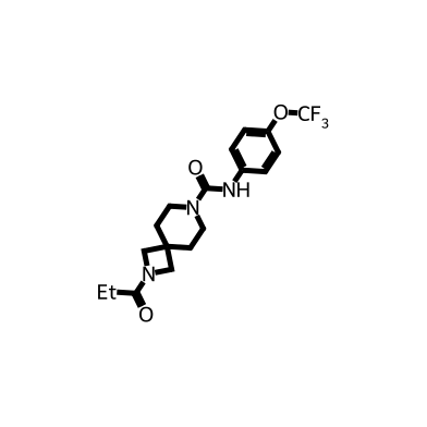 CCC(=O)N1CC2(CCN(C(=O)Nc3ccc(OC(F)(F)F)cc3)CC2)C1